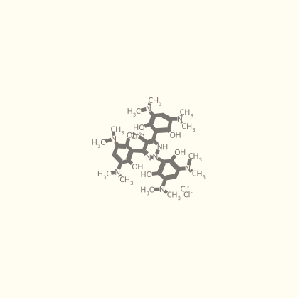 CN(C)c1cc(N(C)C)c(O)c(C2=NN(c3c(O)c(N(C)C)cc(N(C)C)c3O)NC(c3c(O)c(N(C)C)cc(N(C)C)c3O)=[C]2[Zr+2])c1O.[Cl-].[Cl-]